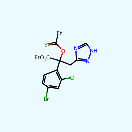 CCOC(=O)C(Cc1nc[nH]n1)(OC(=S)CC)c1ccc(Br)cc1Cl